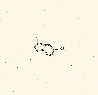 FC(F)(F)c1ccc2c[c][nH]c2c1